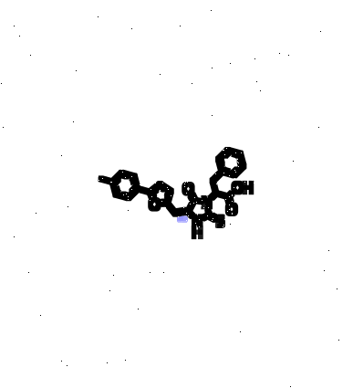 Cc1ccc(-c2ccc(/C=C3/NC(=S)N(C(Cc4ccccc4)C(=O)O)C3=O)o2)cc1